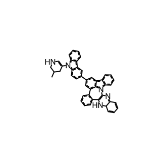 CC1CNC=C(n2c3ccccc3c3cc(-c4cc5c6c(c4)c4ccccc4n6C4=C(NC6C=CC=CC6=N4)c4ccccc4-5)ccc32)C1